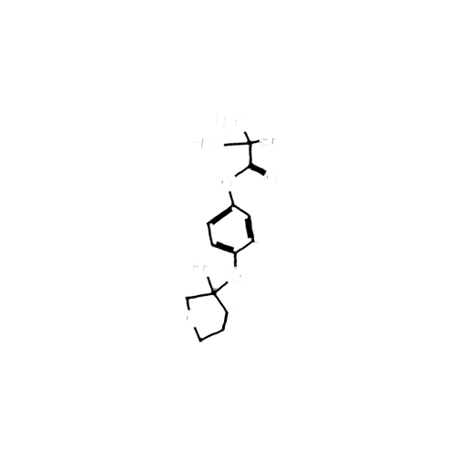 CCC1(Oc2ccc(OC(=O)C(C)(C)CC)cc2)CCCCC1